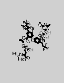 CC(C)OC(=O)c1cc(-c2nn(C)c(C(F)(F)F)c2Br)c(F)cc1Cl.COc1nc(C)nc(NC(=O)NS(=O)(=O)c2ccccc2CCC(F)(F)F)n1.CP(=O)(O)CCC(N)C(=O)O